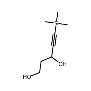 C[Si](C)(C)C#CC(O)CCO